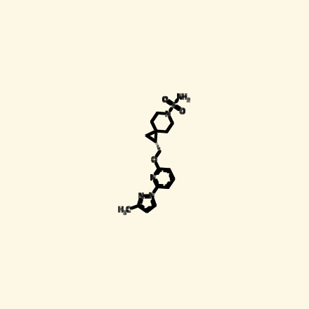 Cc1ccn(-c2cccc(OC[C@@H]3CC34CCN(S(N)(=O)=O)CC4)n2)n1